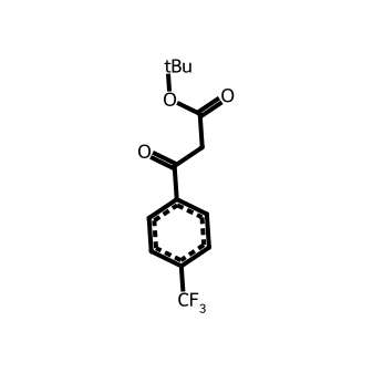 CC(C)(C)OC(=O)CC(=O)c1ccc(C(F)(F)F)cc1